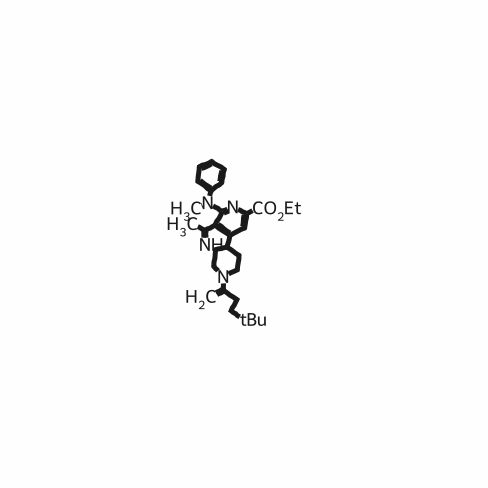 C=C(CCC(C)(C)C)N1CCC(c2cc(C(=O)OCC)nc(N(C)c3ccccc3)c2C(C)=N)CC1